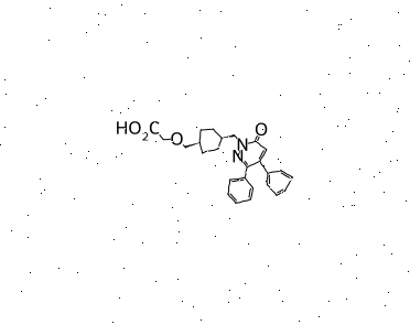 O=C(O)COC[C@H]1CC[C@@H](Cn2nc(-c3ccccc3)c(-c3ccccc3)cc2=O)CC1